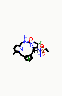 CCS(=O)(=O)N[C@H]1[C@@H](F)CN2C(=O)NCc3ccc(C)c(n3)Cc3cccc(c3F)C[C@@H]12